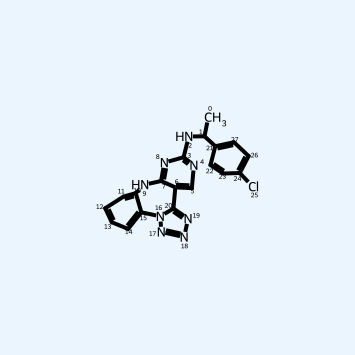 CC(Nc1ncc2c(n1)Nc1ccccc1-n1nnnc1-2)c1ccc(Cl)cc1